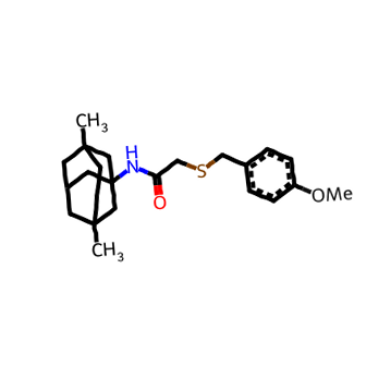 COc1ccc(CSCC(=O)NC23CC4CC(C)(CC(C)(C4)C2)C3)cc1